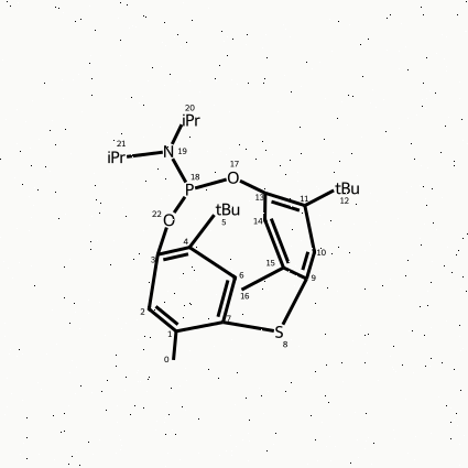 Cc1cc2c(C(C)(C)C)cc1Sc1cc(C(C)(C)C)c(cc1C)OP(N(C(C)C)C(C)C)O2